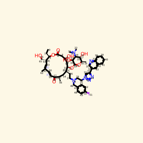 CC[C@H]1OC(=O)C[C@@H](O)[C@H](C)[C@@H](O[C@@H]2O[C@H](C)[C@@H](O)C(N(C)C)C2O)[C@@H](CCN(CCn2cc(-c3cnc4ccccc4c3)nn2)Cc2ccc(I)cc2)C[C@@H](C)C(=O)/C=C/C(C)=C/[C@@H]1CO